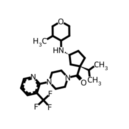 CC1COCCC1N[C@@H]1CC[C@@](C(=O)N2CCN(c3ncccc3C(F)(F)F)CC2)(C(C)C)C1